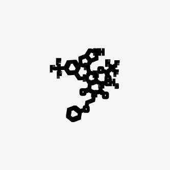 Cn1c2c(c(=O)n(CCOc3ccccc3)c1=O)N(Cc1cccc(C(F)(F)F)c1)C(N1CCC3CNCC31)N2OC(=O)C(F)(F)F